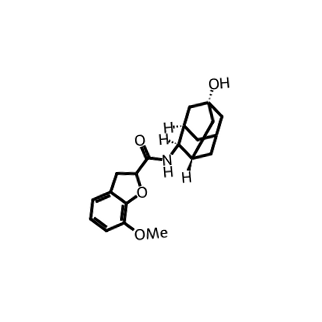 COc1cccc2c1OC(C(=O)N[C@H]1[C@@H]3CC4C[C@H]1C[C@](O)(C4)C3)C2